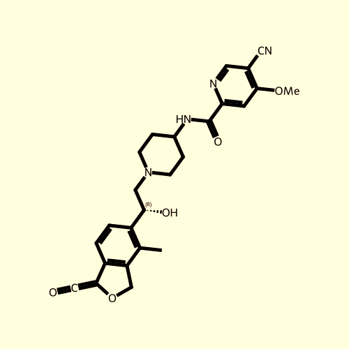 COc1cc(C(=O)NC2CCN(C[C@H](O)c3ccc4c(c3C)COC4=C=O)CC2)ncc1C#N